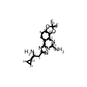 NC(Cc1nc2c3ccc4c(c3nc(N)n2n1)OC(F)(F)O4)=C1CC1